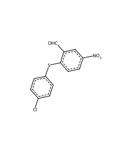 O=Cc1cc([N+](=O)[O-])ccc1Sc1ccc(Cl)cc1